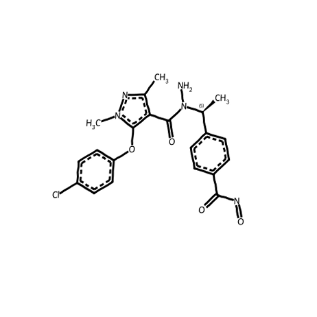 Cc1nn(C)c(Oc2ccc(Cl)cc2)c1C(=O)N(N)[C@@H](C)c1ccc(C(=O)N=O)cc1